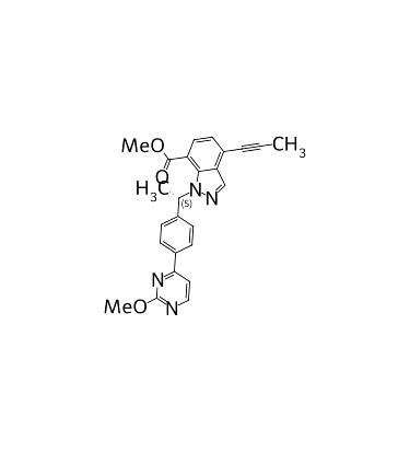 CC#Cc1ccc(C(=O)OC)c2c1cnn2[C@@H](C)c1ccc(-c2ccnc(OC)n2)cc1